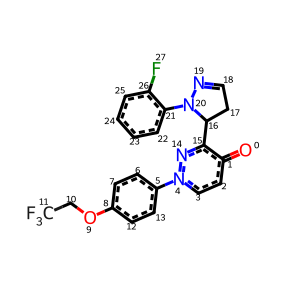 O=c1ccn(-c2ccc(OCC(F)(F)F)cc2)nc1C1CC=NN1c1ccccc1F